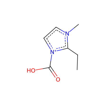 CCc1n(C)cc[n+]1C(=O)O